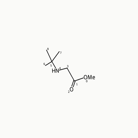 COC(=O)CNC(C)(C)C